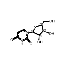 O=c1ccn([C@H]2S[C@@H](CO)[C@@H](O)[C@H]2O)c(=O)[nH]1